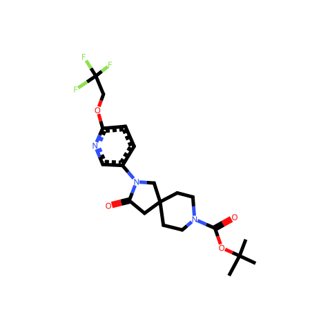 CC(C)(C)OC(=O)N1CCC2(CC1)CC(=O)N(c1ccc(OCC(F)(F)F)nc1)C2